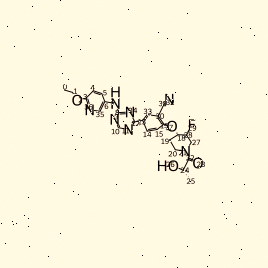 CCOc1ccc(Nc2ncnc(-c3ccc(O[C@H]4CCN(C(=O)[C@H](C)O)C[C@@H]4F)c(C#N)c3)n2)cn1